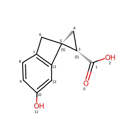 O=C(O)[C@H]1C[C@]12Cc1ccc(O)cc12